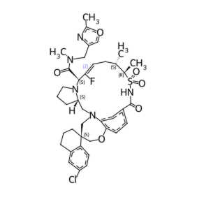 Cc1nc(CN(C)C(=O)[C@H]2/C(F)=C/C[C@H](C)[C@@H](C)S(=O)(=O)NC(=O)c3ccc4c(c3)N(C[C@@H]3CCCN32)C[C@@]2(CCCc3cc(Cl)ccc32)CO4)co1